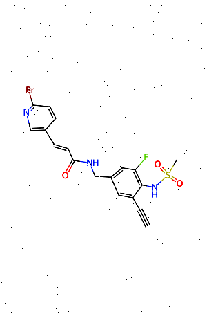 C#Cc1cc(CNC(=O)C=Cc2ccc(Br)nc2)cc(F)c1NS(C)(=O)=O